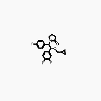 O=C1CCCN1C(c1ccc(F)cc1)[C@@H](OCC1CC1)c1ccc(F)c(F)c1